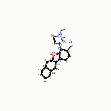 Cc1ccc2c(oc3cc4ccccc4cc32)c1N1C=CN(C)[C@@H]1C